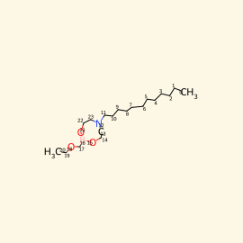 CCCCCCCCCCCCN1CCOB(COCC)OCC1